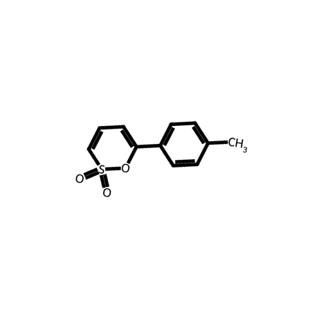 Cc1ccc(C2=CC=CS(=O)(=O)O2)cc1